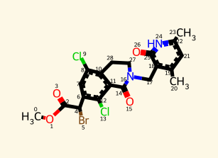 COC(=O)C(Br)c1cc(Cl)c2c(c1Cl)C(=O)N(Cc1c(C)cc(C)[nH]c1=O)CC2